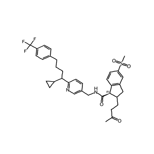 CC(=O)CCC1Cc2cc(S(C)(=O)=O)ccc2[C@@H]1C(=O)NCc1ccc(C(CCCc2ccc(C(F)(F)F)cc2)C2CC2)nc1